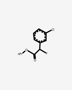 CCCOC(=O)C(F)c1cccc(Cl)c1